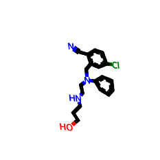 N#Cc1ccc(Cl)cc1CN(CCNCCCO)c1ccccc1